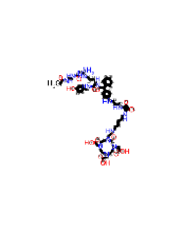 CCC(=O)NCCNC(=O)/N=C(/N)NCCC[C@@H](NC(=O)C(c1ccccc1)c1ccc(NCCCNc2c(NCCCCCCNC(=O)CN3CCN(CC(=O)O)CCN(CC(=O)O)CCN(CC(=O)O)CC3)c(=O)c2=O)cc1)C(=O)NCc1ccc(O)cc1